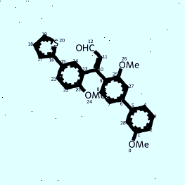 COc1cccc(-c2ccc(C(=CC=O)c3cc(-c4cccs4)ccc3OC)c(OC)c2)c1